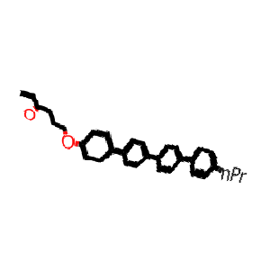 C=CC(=O)CCCOC1CCC(c2ccc(-c3ccc(-c4ccc(CCC)cc4)cc3)cc2)CC1